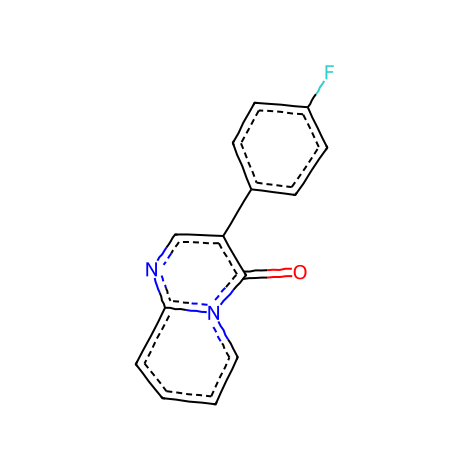 O=c1c(-c2ccc(F)cc2)cnc2ccccn12